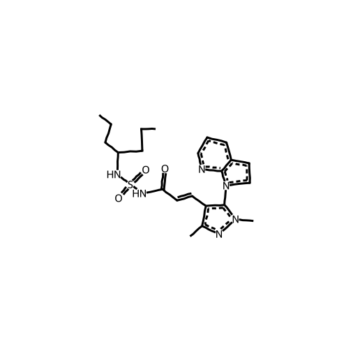 CCCC(CCC)NS(=O)(=O)NC(=O)C=Cc1c(C)nn(C)c1-n1ccc2cccnc21